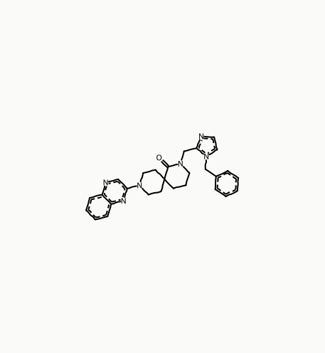 O=C1N(Cc2nccn2Cc2ccccc2)CCCC12CCN(c1cnc3ccccc3n1)CC2